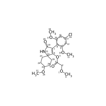 COCC(=O)OC1=C(c2c(OC)cc(Cl)cc2OC)C(=O)NC12CCC(OC)CC2